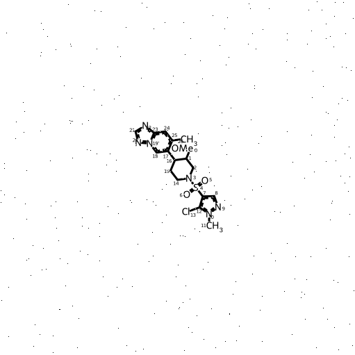 COC1CN(S(=O)(=O)c2cnn(C)c2Cl)CCC1c1cn2ncnc2cc1C